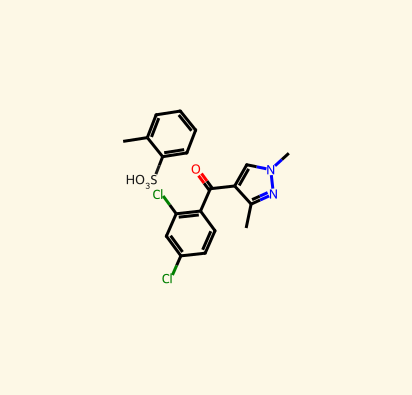 Cc1ccccc1S(=O)(=O)O.Cc1nn(C)cc1C(=O)c1ccc(Cl)cc1Cl